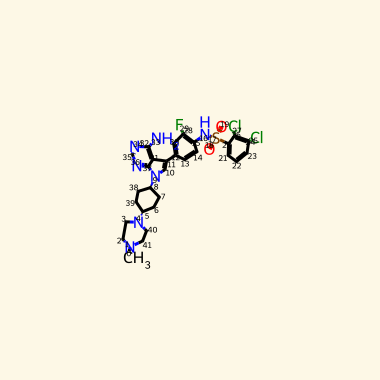 CN1CCN([C@H]2CC[C@H](n3cc(-c4ccc(NS(=O)(=O)c5cccc(Cl)c5Cl)c(F)c4)c4c(N)ncnc43)CC2)CC1